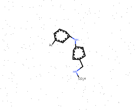 CC(=O)c1cccc(Nc2ccc(CNC(=O)O)cc2)c1